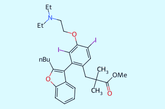 CCCCc1oc2ccccc2c1-c1c(CC(C)(C)C(=O)OC)cc(I)c(OCCN(CC)CC)c1I